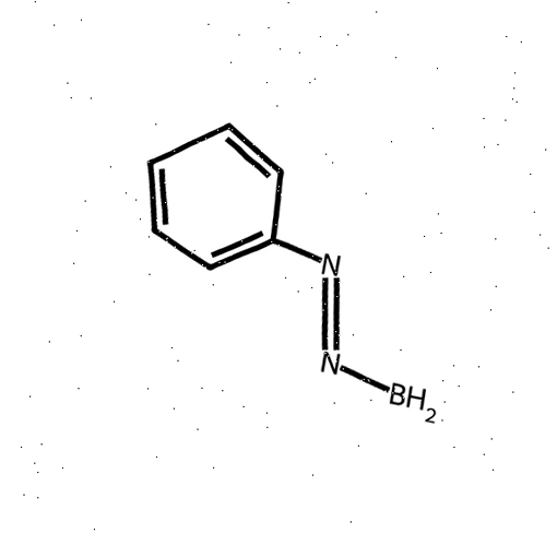 BN=Nc1ccccc1